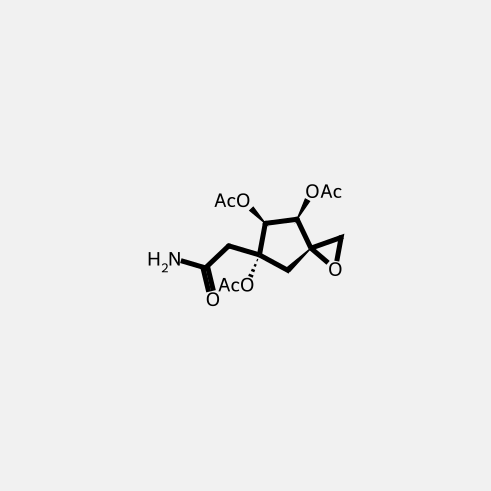 CC(=O)O[C@@H]1[C@H](OC(C)=O)[C@@](CC(N)=O)(OC(C)=O)C[C@]12CO2